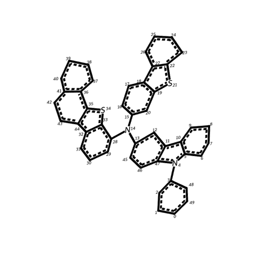 c1ccc(-n2c3ccccc3c3cc(N(c4ccc5c(c4)sc4ccccc45)c4cccc5c4sc4c6ccccc6ccc54)ccc32)cc1